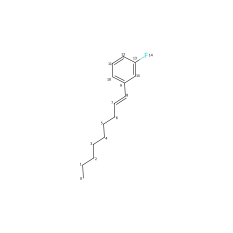 CCCCCCC/C=C/c1cc[c]c(F)c1